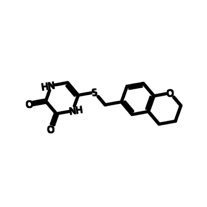 O=c1[nH]cc(SCc2ccc3c(c2)CCCO3)[nH]c1=O